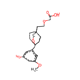 COc1cc(O)cc(C23CCC(CCOCC(=O)O)(CC2)CO3)c1